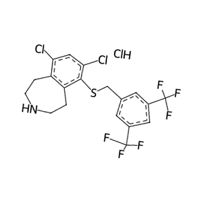 Cl.FC(F)(F)c1cc(CSc2c(Cl)cc(Cl)c3c2CCNCC3)cc(C(F)(F)F)c1